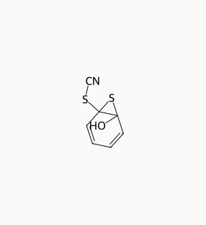 N#CSC12C=CC=CC1(O)S2